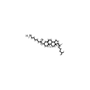 CC(C)CCC[C@H](C)[C@@H]1CCC2C3CC=C4CC(OC(=O)CCCCCN)CC[C@@]4(C)C3CC[C@]21C